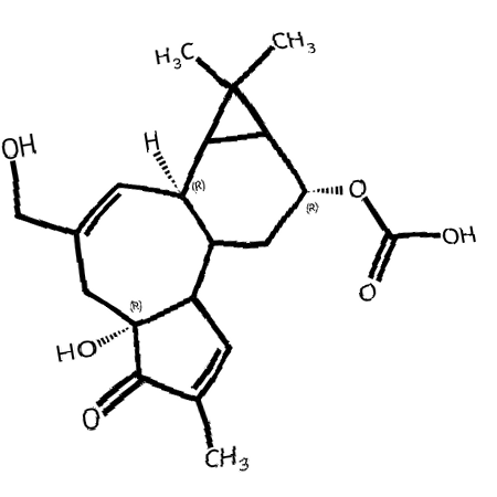 CC1=CC2C3C[C@@H](OC(=O)O)C4C([C@@H]3C=C(CO)C[C@]2(O)C1=O)C4(C)C